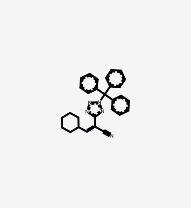 N#C/C(=C/C1CCCCC1)c1nnn(C(c2ccccc2)(c2ccccc2)c2ccccc2)n1